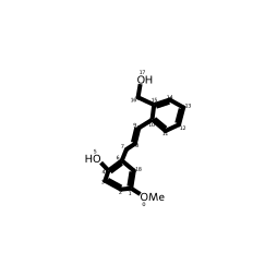 COc1ccc(O)c(CC=Cc2ccccc2CO)c1